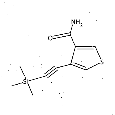 C[Si](C)(C)C#Cc1cscc1C(N)=O